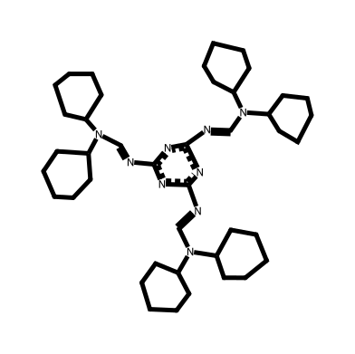 C(=Nc1nc(N=CN(C2CCCCC2)C2CCCCC2)nc(N=CN(C2CCCCC2)C2CCCCC2)n1)N(C1CCCCC1)C1CCCCC1